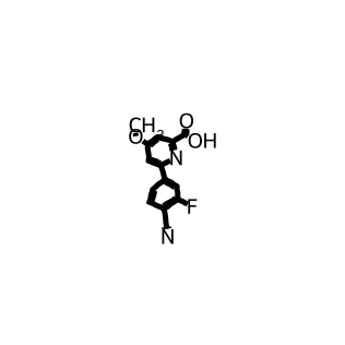 COc1cc(C(=O)O)nc(-c2ccc(C#N)c(F)c2)c1